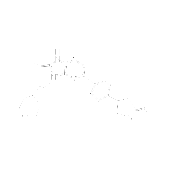 O=C1CC(c2ccc(-c3cnc4[nH]c(=O)n(CCC5CCOCC5)c4n3)cc2)CN1